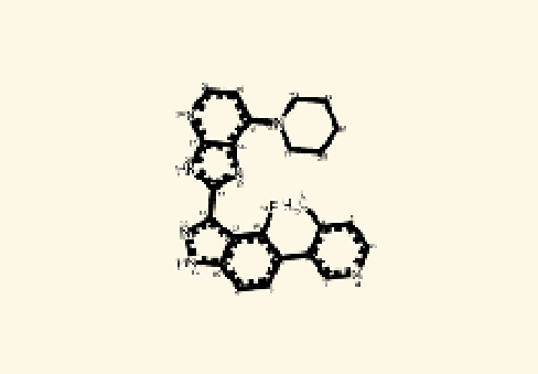 Cc1ccncc1-c1ccc2[nH]nc(-c3nc4c(N5CCCCC5)ccnc4[nH]3)c2c1F